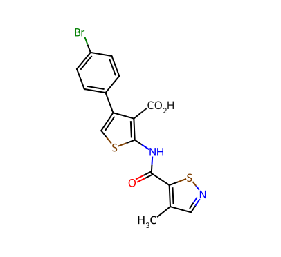 Cc1cnsc1C(=O)Nc1scc(-c2ccc(Br)cc2)c1C(=O)O